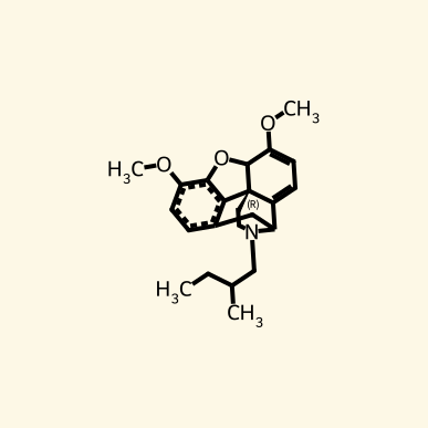 CCC(C)CN1CC[C@]23C4=CC=C(OC)C2Oc2c(OC)ccc(c23)CC41